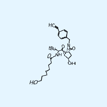 C#Cc1ccc(CNC(=O)[C@@H]2C[C@@H](O)CN2C(=O)[C@@H](NC(=O)CCCCCCCO)C(C)(C)C)cc1